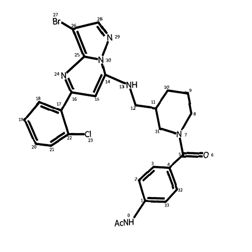 CC(=O)Nc1ccc(C(=O)N2CCCC(CNc3cc(-c4ccccc4Cl)nc4c(Br)cnn34)C2)cc1